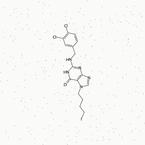 O=c1[nH]c(NCc2ccc(Cl)c(Cl)c2)nc2ncn(CCCCI)c12